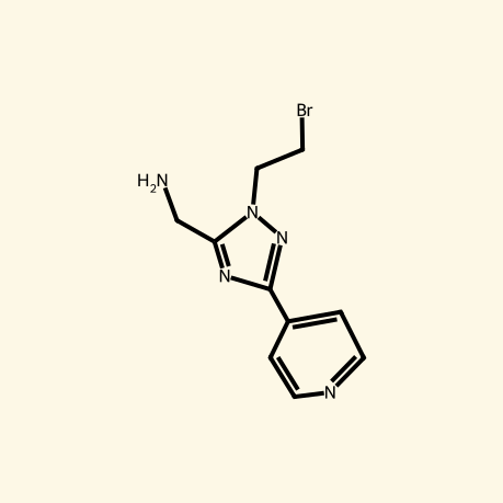 NCc1nc(-c2ccncc2)nn1CCBr